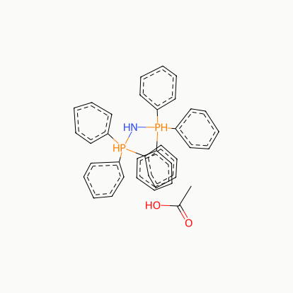 CC(=O)O.c1ccc([PH](N[PH](c2ccccc2)(c2ccccc2)c2ccccc2)(c2ccccc2)c2ccccc2)cc1